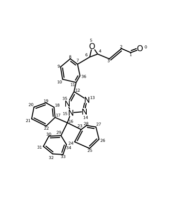 O=C/C=C/C1OC1c1cccc(-c2nnn(C(c3ccccc3)(c3ccccc3)c3ccccc3)n2)c1